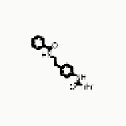 CCCC(=O)Nc1ccc(CCNC(=O)c2ccccc2)cc1